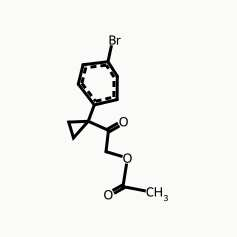 CC(=O)OCC(=O)C1(c2ccc(Br)cc2)CC1